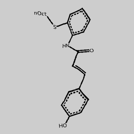 CCCCCCCCSc1ccccc1NC(=O)C=Cc1ccc(O)cc1